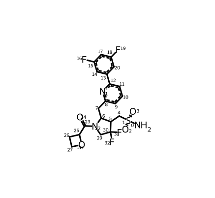 NS(=O)(=O)CC1C(Cc2cccc(-c3cc(F)cc(F)c3)n2)N(C(=O)C2CCO2)CC1(F)F